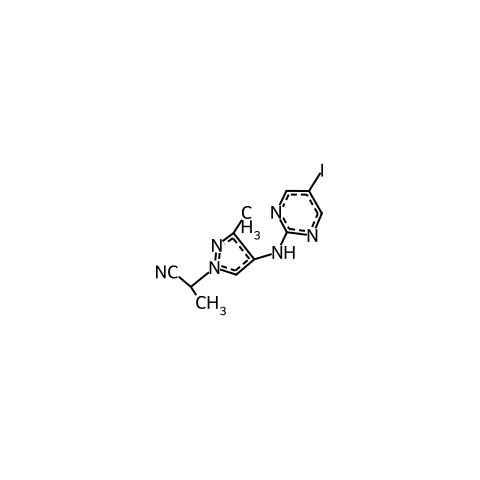 Cc1nn(C(C)C#N)cc1Nc1ncc(I)cn1